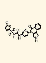 O=C(Nc1ccc(-n2c3c(c4ccccc4c2=O)CNC3)nc1)NS(=O)(=O)c1ccc(Cl)s1